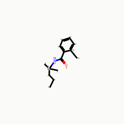 CCC[Si](C)(C)NC(=O)c1ccccc1C